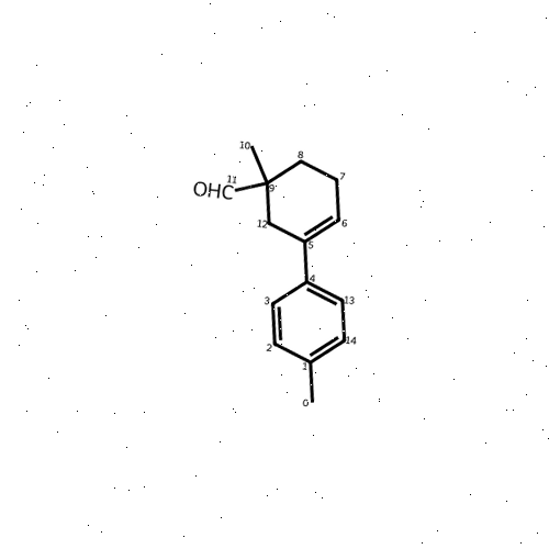 Cc1ccc(C2=CCCC(C)(C=O)C2)cc1